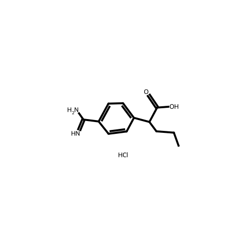 CCCC(C(=O)O)c1ccc(C(=N)N)cc1.Cl